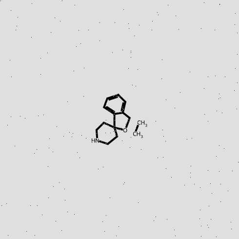 CC.c1ccc2c(c1)COC21CCNCC1